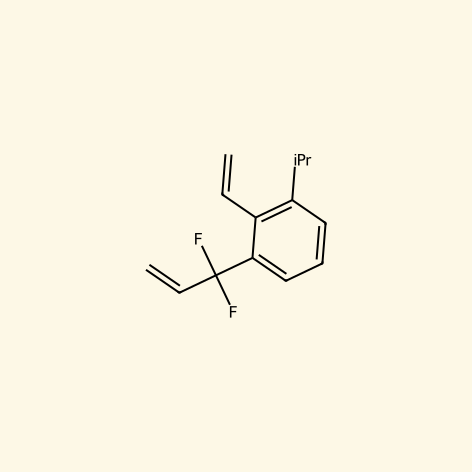 C=Cc1c(C(C)C)cccc1C(F)(F)C=C